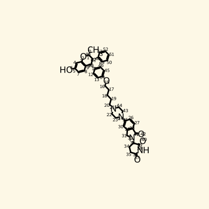 C[C@H]1Oc2cc(O)ccc2[C@@H](c2ccc(OCCCCCN3CCN(c4ccc5c(c4)CN(C4CCC(=O)NC4=O)C5=O)CC3)cc2)[C@H]1c1ccccc1